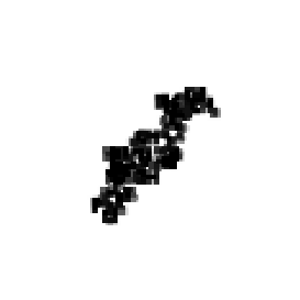 CC(C)(C)OC(=O)N1CCC(C2=NO[C@@H](C[C@H]3O[C@H](CO)[C@H](O)[C@H](n4cc(-c5cc(F)c(Cl)cc5F)nn4)[C@H]3O)C2)CC1